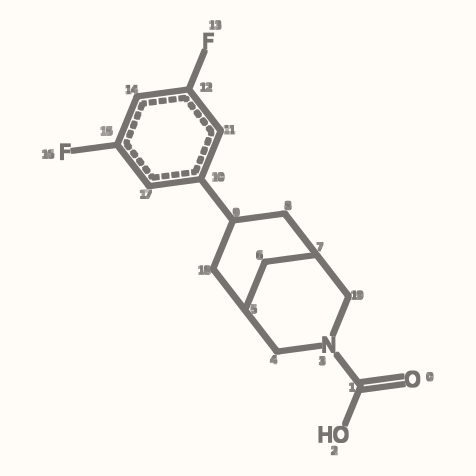 O=C(O)N1CC2CC(CC(c3cc(F)cc(F)c3)C2)C1